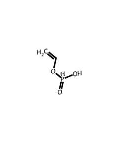 C=CO[PH](=O)O